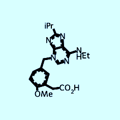 CCNc1ncn(Cc2ccc(OC)c(CC(=O)O)c2)c2nc(C(C)C)nc1-2